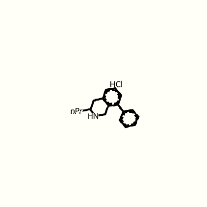 CCCC1Cc2cccc(-c3ccccc3)c2CN1.Cl